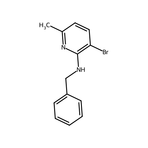 Cc1ccc(Br)c(NCc2ccccc2)n1